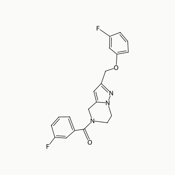 O=C(c1cccc(F)c1)N1CCn2nc(COc3cccc(F)c3)cc2C1